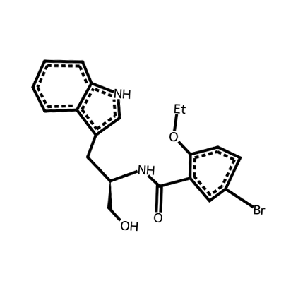 CCOc1ccc(Br)cc1C(=O)N[C@@H](CO)Cc1c[nH]c2ccccc12